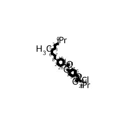 CC(C)CCCC(C)CCC[C@H]1CC[C@H](C(=O)Oc2ccc(OC(=O)C(Cl)C(C)C)cc2)CC1